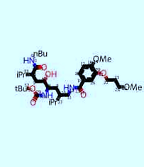 CCCCNC(=O)C(CC(O)C(CC(CNC(=O)c1ccc(OC)c(OCCCOC)c1)C(C)C)NC(=O)OC(C)(C)C)C(C)C